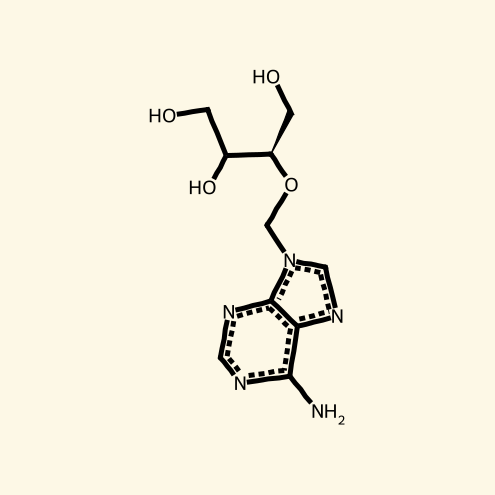 Nc1ncnc2c1ncn2CO[C@H](CO)C(O)CO